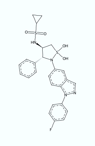 O=S(=O)(N[C@H]1CS(O)(O)N(c2ccc3c(cnn3-c3ccc(F)cc3)c2)[C@@H]1c1ccccc1)C1CC1